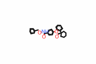 O=C(NOCc1ccccc1)c1ccc(OC(=O)C2(c3ccccc3)CCCCC2)cc1